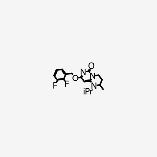 CC(C)N1c2cc(OCc3cccc(F)c3F)nc(=O)n2CCC1C